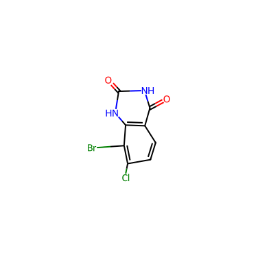 O=c1[nH]c(=O)c2ccc(Cl)c(Br)c2[nH]1